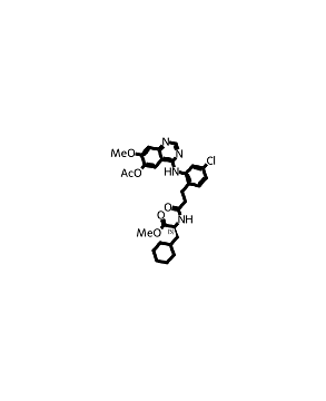 COC(=O)[C@H](CC1CCCCC1)NC(=O)CCc1ccc(Cl)cc1Nc1ncnc2cc(OC)c(OC(C)=O)cc12